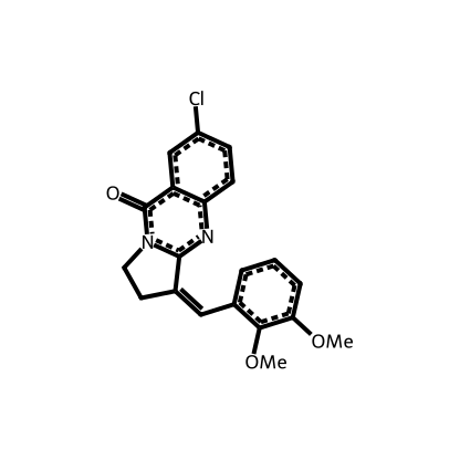 COc1cccc(/C=C2/CCn3c2nc2ccc(Cl)cc2c3=O)c1OC